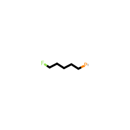 FCCCCC[P]